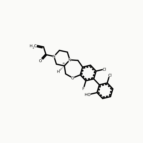 C=CC(=O)N1CCN2Cc3cc(Cl)c(-c4c(O)cccc4Cl)c(F)c3OC[C@H]2C1